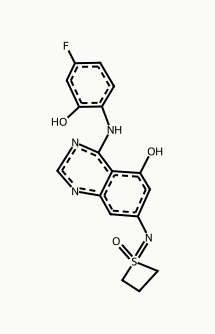 O=S1(=Nc2cc(O)c3c(Nc4ccc(F)cc4O)ncnc3c2)CCC1